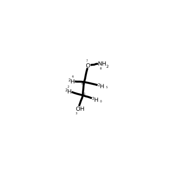 [2H]C([2H])(O)C([2H])([2H])ON